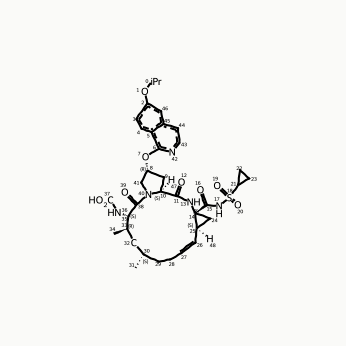 CC(C)Oc1ccc2c(O[C@@H]3C[C@H]4C(=O)N[C@]5(C(=O)NS(=O)(=O)C6CC6)C[C@H]5C=CCC[C@H](C)C[C@@H](C)[C@H](NC(=O)O)C(=O)N4C3)nccc2c1